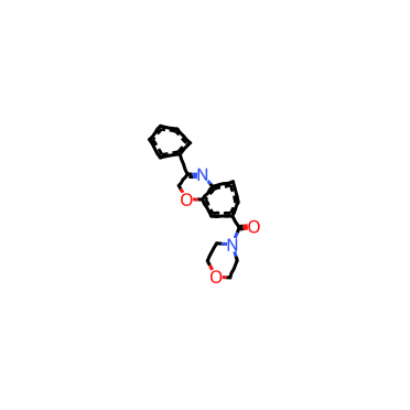 O=C(c1ccc2c(c1)OCC(c1ccccc1)=N2)N1CCOCC1